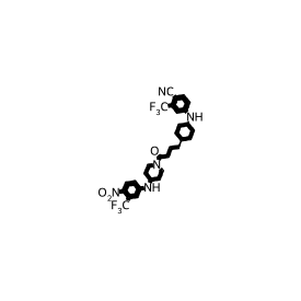 N#Cc1ccc(N[C@H]2CC[C@H](CCCC(=O)N3CCC(Nc4ccc([N+](=O)[O-])c(C(F)(F)F)c4)CC3)CC2)cc1C(F)(F)F